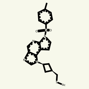 CC(=O)SC[C@H]1C[C@@H](n2cnc3cnc4c(ccn4S(=O)(=O)c4ccc(C)cc4)c32)C1